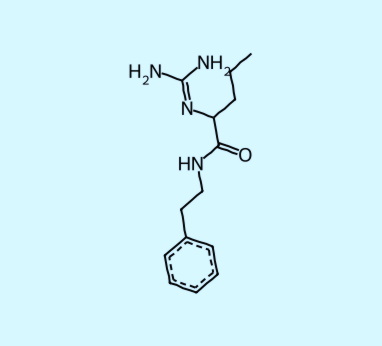 CCCC(N=C(N)N)C(=O)NCCc1ccccc1